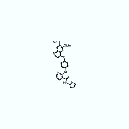 COc1cc2nccc(Oc3ccc(Nc4ncccc4C(=O)NC4=NC=CC4)cc3)c2cc1OC